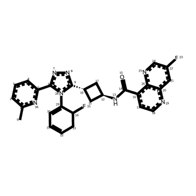 Cc1cccc(-c2nnc([C@H]3C[C@H](NC(=O)c4ccnc5cc(F)cnc45)C3)n2C2=CC=CCC2F)n1